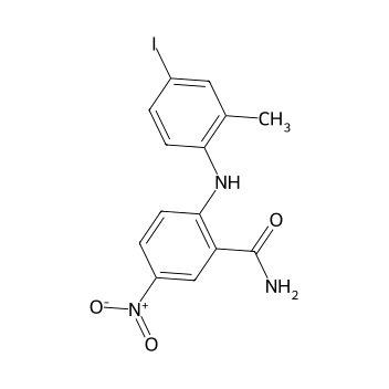 Cc1cc(I)ccc1Nc1ccc([N+](=O)[O-])cc1C(N)=O